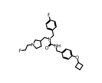 O=C(NCc1ccc(OC2CCC2)cc1)N(Cc1ccc(F)cc1)CC1CCN(CCF)C1